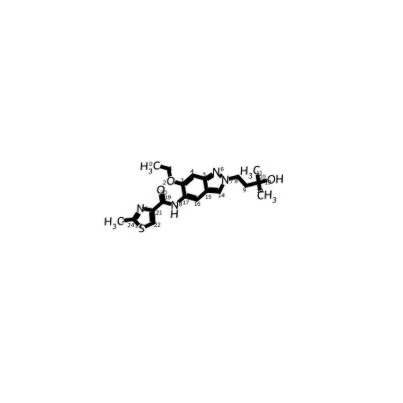 CCOc1cc2nn(CCC(C)(C)O)cc2cc1NC(=O)c1csc(C)n1